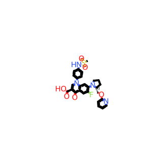 CS(=O)(=O)Nc1ccc(-n2cc(C(=O)O)c(=O)c3cc(F)c(N4CCC[C@@H]4COc4ccccn4)cc32)cc1